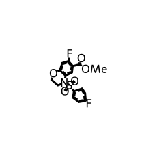 COC(=O)c1cc2c(cc1F)OCCN2S(=O)(=O)c1ccc(F)cc1